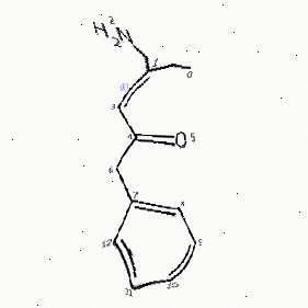 C/C(N)=C\C(=O)Cc1ccccc1